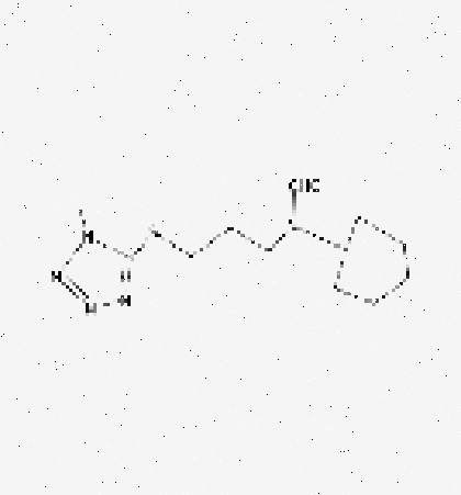 Cn1nnnc1SCCCN(C=O)C1CCCCC1